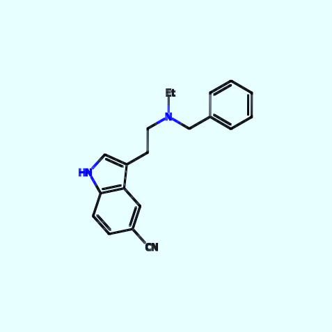 CCN(CCc1c[nH]c2ccc(C#N)cc12)Cc1ccccc1